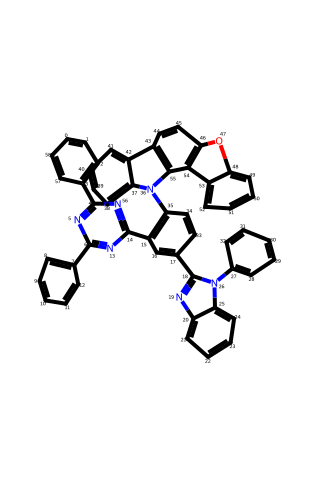 c1ccc(-c2nc(-c3ccccc3)nc(-c3cc(-c4nc5ccccc5n4-c4ccccc4)ccc3-n3c4ccccc4c4ccc5oc6ccccc6c5c43)n2)cc1